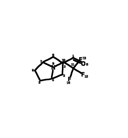 O=CC1CC2CCC(C1)N2CC(F)(F)F